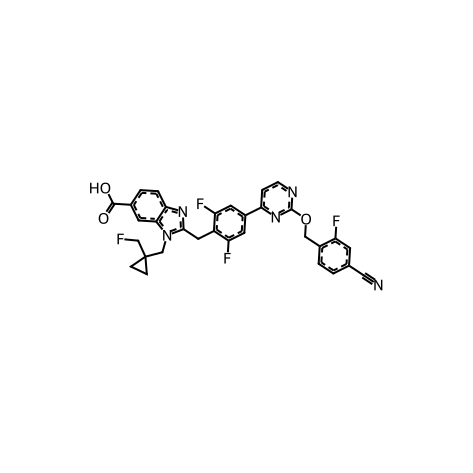 N#Cc1ccc(COc2nccc(-c3cc(F)c(Cc4nc5ccc(C(=O)O)cc5n4CC4(CF)CC4)c(F)c3)n2)c(F)c1